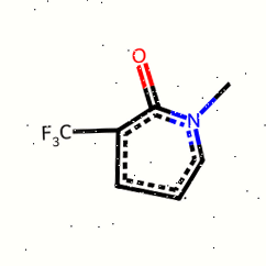 Cn1c[c]cc(C(F)(F)F)c1=O